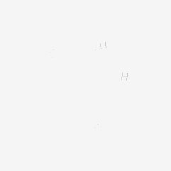 C=CC(=O)O.OC=S